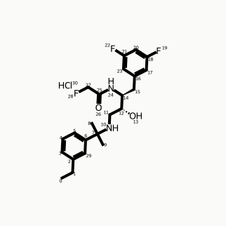 CCc1cccc(C(C)(C)NC[C@@H](O)[C@H](Cc2cc(F)cc(F)c2)NC(=O)CF)c1.Cl